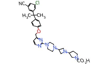 CC(C)(c1ccc(OCc2ccnc(N3CCN(C4CN(C5CCN(C(=O)O)C5)C4)CC3)n2)cc1)c1cc(Cl)cc(C#N)c1